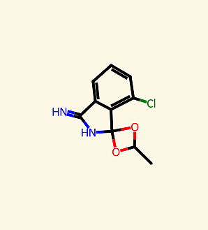 CC1OC2(NC(=N)c3cccc(Cl)c32)O1